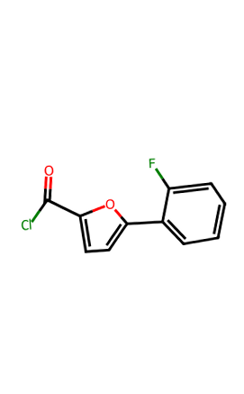 O=C(Cl)c1ccc(-c2ccccc2F)o1